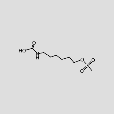 CS(=O)(=O)OCCCCCCNC(=O)O